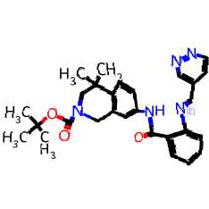 CC(C)(C)OC(=O)N1Cc2cc(NC(=O)c3ccccc3/N=C/c3ccnnc3)ccc2C(C)(C)C1